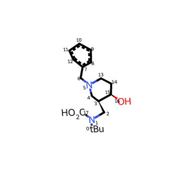 CC(C)(C)N(C[C@H]1CN(Cc2ccccc2)CC[C@H]1O)C(=O)O